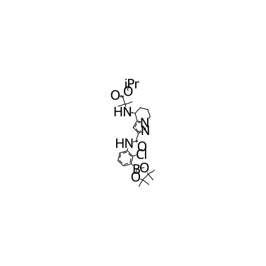 CC(C)OC(=O)C(C)(C)N[C@H]1CCCn2nc(C(=O)Nc3cccc(B4OC(C)(C)C(C)(C)O4)c3Cl)cc21